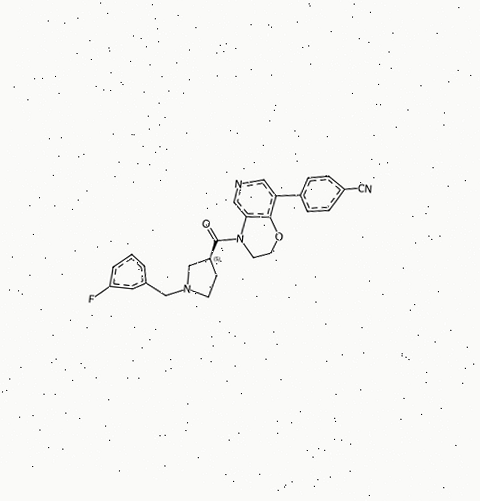 N#Cc1ccc(-c2cncc3c2OCCN3C(=O)[C@H]2CCN(Cc3cccc(F)c3)C2)cc1